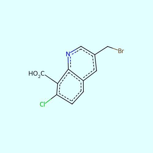 O=C(O)c1c(Cl)ccc2cc(CBr)cnc12